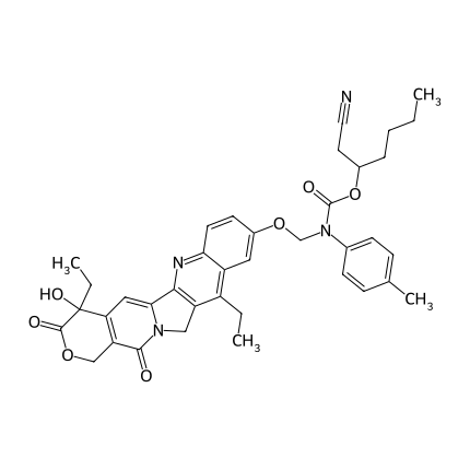 CCCCC(CC#N)OC(=O)N(COc1ccc2nc3c(c(CC)c2c1)Cn1c-3cc2c(c1=O)COC(=O)C2(O)CC)c1ccc(C)cc1